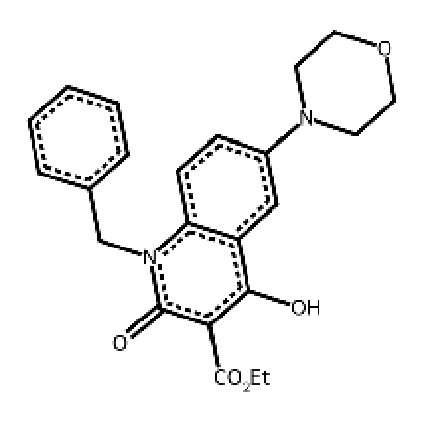 CCOC(=O)c1c(O)c2cc(N3CCOCC3)ccc2n(Cc2ccccc2)c1=O